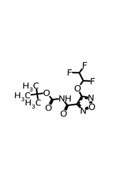 CC(C)(C)OC(=O)NC(=O)c1nonc1OC(F)C(F)F